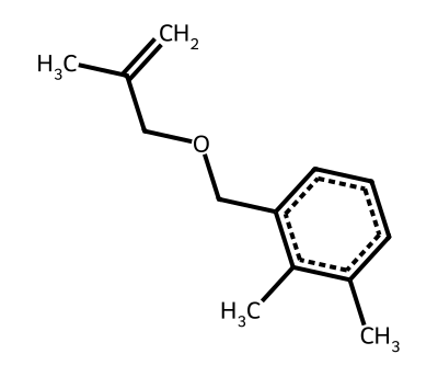 C=C(C)COCc1cccc(C)c1C